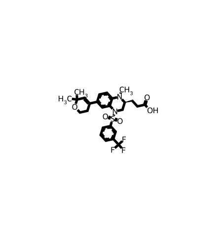 CN1c2ccc(C3=CC(C)(C)OCC3)cc2N(S(=O)(=O)c2cccc(C(F)(F)F)c2)C[C@@H]1CCC(=O)O